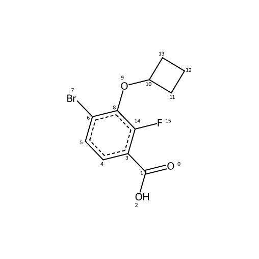 O=C(O)c1ccc(Br)c(OC2CCC2)c1F